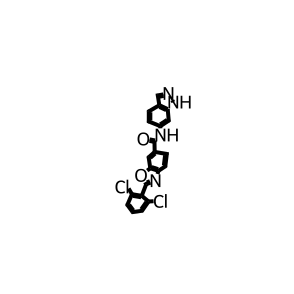 O=C(Nc1ccc2cn[nH]c2c1)c1ccc2nc(-c3c(Cl)cccc3Cl)oc2c1